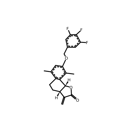 C=C1C(=O)O[C@H]2c3c(C)c(OCc4cc(F)c(F)c(F)c4)cc(C)c3CC[C@@H]12